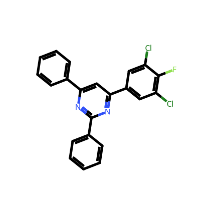 Fc1c(Cl)cc(-c2cc(-c3ccccc3)nc(-c3ccccc3)n2)cc1Cl